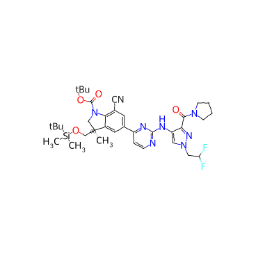 CC(C)(C)OC(=O)N1C[C@](C)(CO[Si](C)(C)C(C)(C)C)c2cc(-c3ccnc(Nc4cn(CC(F)F)nc4C(=O)N4CCCC4)n3)cc(C#N)c21